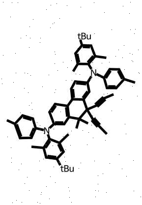 CC#CC1(C#CC)c2cc(N(c3ccc(C)cc3)c3c(C)cc(C(C)(C)C)cc3C)ccc2-c2ccc(N(c3ccc(C)cc3)c3c(C)cc(C(C)(C)C)cc3C)cc2C1(C)C